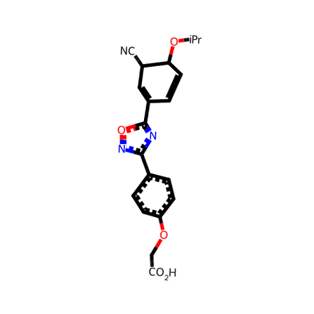 CC(C)OC1C=CC(c2nc(-c3ccc(OCC(=O)O)cc3)no2)=CC1C#N